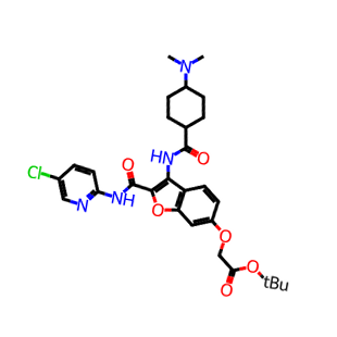 CN(C)C1CCC(C(=O)Nc2c(C(=O)Nc3ccc(Cl)cn3)oc3cc(OCC(=O)OC(C)(C)C)ccc23)CC1